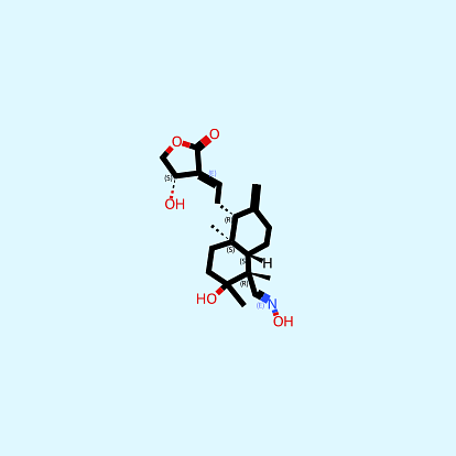 C=C1CC[C@H]2[C@@](C)(CCC(C)(O)[C@@]2(C)/C=N/O)[C@@H]1C/C=C1/C(=O)OC[C@H]1O